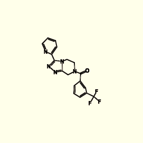 O=C(c1cccc(C(F)(F)F)c1)N1CCn2c(nnc2-c2ccccn2)C1